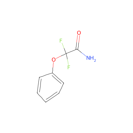 NC(=O)C(F)(F)Oc1ccccc1